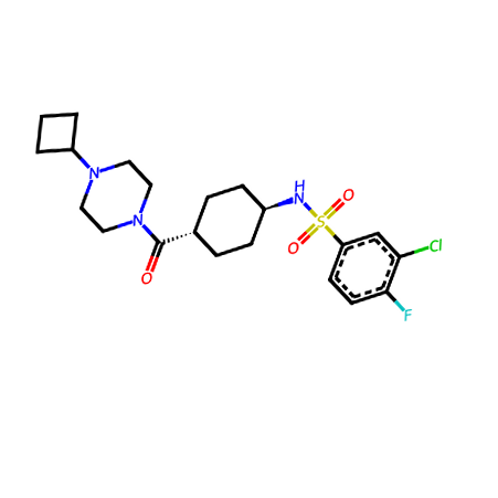 O=C([C@H]1CC[C@H](NS(=O)(=O)c2ccc(F)c(Cl)c2)CC1)N1CCN(C2CCC2)CC1